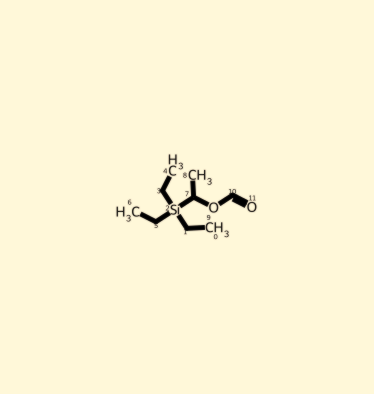 CC[Si](CC)(CC)C(C)O[C]=O